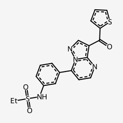 CCS(=O)(=O)Nc1cccc(-c2ccnc3c(C(=O)c4cccs4)cnn23)c1